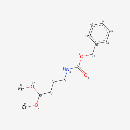 CCOC(CCCNC(=O)OCc1ccccc1)OCC